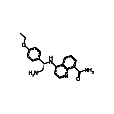 CCOc1ccc([C@@H](CN)Nc2ccnc3c(C(N)=O)cccc23)cc1